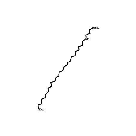 CCCCCCCCCCCCCCCCCCCCCCCCCCCCCCCCCCCNCCCCCCCCCCCCC